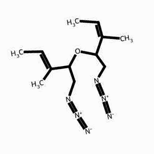 CC=C(C)C(CN=[N+]=[N-])OC(CN=[N+]=[N-])C(C)=CC